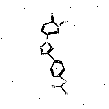 CCCn1cc(-n2cc(-c3ccc(OC(CC)CC)cc3)cn2)ccc1=O